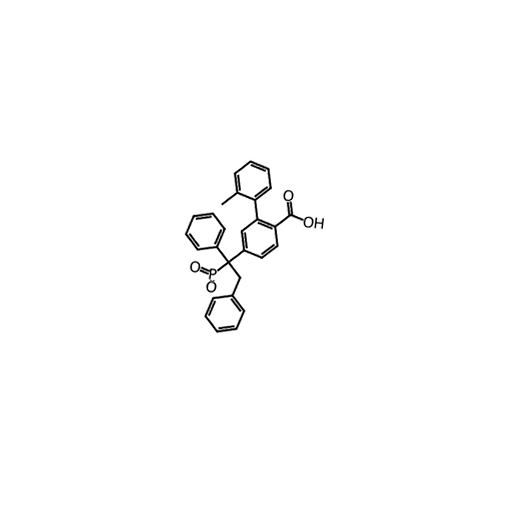 Cc1ccccc1-c1cc(C(Cc2ccccc2)(c2ccccc2)P(=O)=O)ccc1C(=O)O